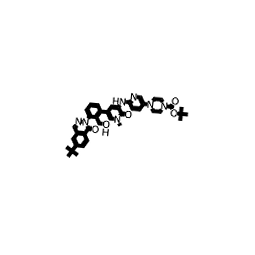 Cn1cc(-c2cccc(-n3ncc4cc(C(C)(C)C)ccc4c3=O)c2CO)cc(Nc2ccc(N3CCN(C(=O)OC(C)(C)C)CC3)cn2)c1=O